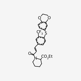 CCOC(=O)C1CCCCN1C(=O)/C=C/c1ccc(Sc2ccc3c(c2)OCCO3)c(C(F)(F)F)c1